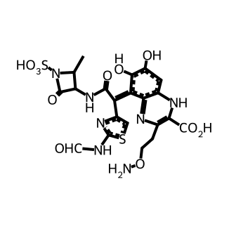 CC1C(NC(=O)C(c2csc(NC=O)n2)=c2c(O)c(O)cc3c2=NC(CCON)=C(C(=O)O)N3)C(=O)N1S(=O)(=O)O